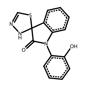 O=C1N(c2ccccc2O)c2ccccc2C12NN=CS2